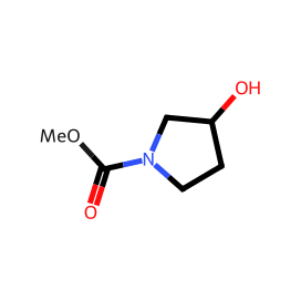 COC(=O)N1CCC(O)C1